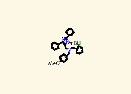 CCCCn1c(-c2ccccc2)nc(-c2ccccc2)c1CN(Cc1ccc(OC)cc1)Cc1ccccc1Cl